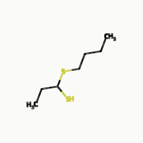 CCCCSC(S)CC